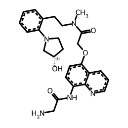 CN(CCc1ccccc1N1CC[C@H](O)C1)C(=O)COc1ccc(NC(=O)CN)c2ncccc12